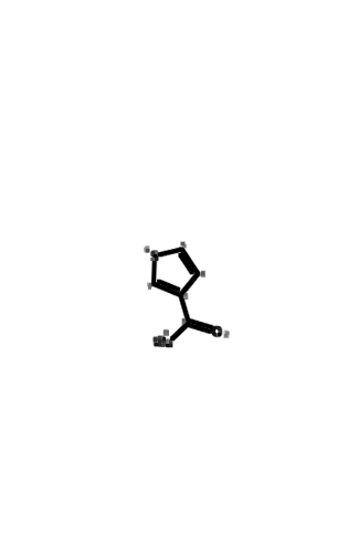 CC(C)(C)C(=O)c1ccsc1